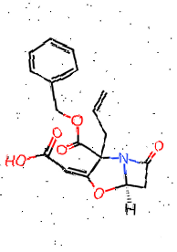 C=CCC1(C(=O)OCc2ccccc2)/C(=C\C(=O)O)O[C@@H]2CC(=O)N21